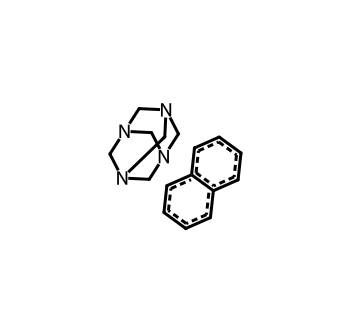 C1N2CN3CN1CN(C2)C3.c1ccc2ccccc2c1